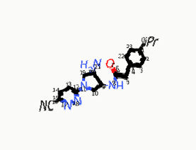 CC(C)c1ccc(CC(=O)N[C@@H]2CN(c3ccc(C#N)nn3)C[C@@H]2N)cc1